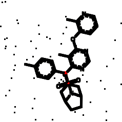 Cc1ccc(CS(=O)(=O)N2C3CCC2CC(Oc2ncnc(Oc4cccnc4C)c2C)C3)cc1